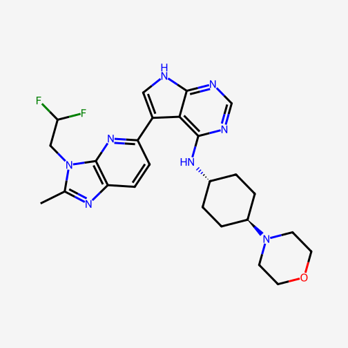 Cc1nc2ccc(-c3c[nH]c4ncnc(N[C@H]5CC[C@H](N6CCOCC6)CC5)c34)nc2n1CC(F)F